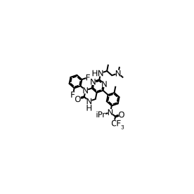 Cc1ccc(N(C(=O)C(F)(F)F)C(C)C)cc1-c1nc(NC(C)CN(C)C)nc2c1CNC(=O)N2c1c(F)cccc1F